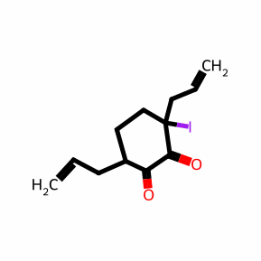 C=CCC1CCC(I)(CC=C)C(=O)C1=O